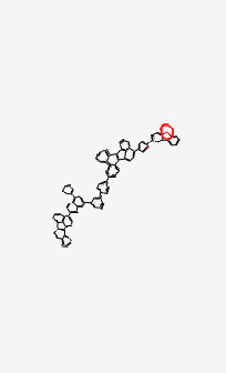 c1ccc(-c2cc(-c3cccc(-c4ccc(-c5ccc6c7c(c8ccccc8c6c5)-c5cccc6c(-c8ccc(-c9ccc%10oc%11ccccc%11c%10c9)cc8)ccc-7c56)cc4)c3)cc3cc(-c4ccc5c6c(cccc46)-c4ccc6ccccc6c4-5)ccc23)cc1